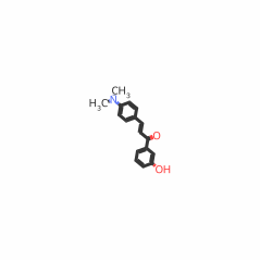 CN(C)c1ccc(C=CC(=O)c2cccc(O)c2)cc1